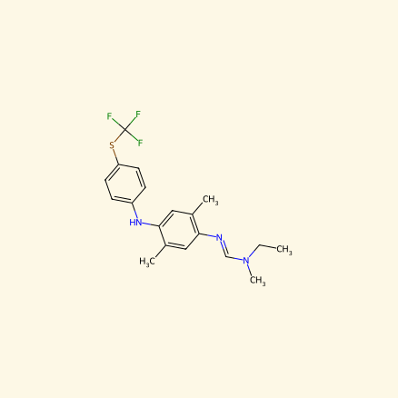 CCN(C)C=Nc1cc(C)c(Nc2ccc(SC(F)(F)F)cc2)cc1C